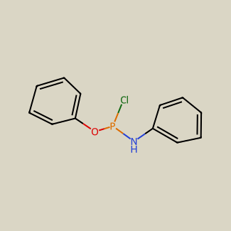 ClP(Nc1ccccc1)Oc1ccccc1